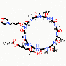 CC[C@@H]1NC(=O)[C@H]([C@H](O)[C@H](C)CCCCCOC(=O)OC)NC(=O)[C@H](C(C)C)N(C)C(=O)[C@H](CC(C)C)N(C)C(=O)[C@H](CC(C)C)N(C)C(=O)[C@@H](C)NC(=O)[C@H](C)NC(=O)[C@H](CC(C)C)N(C)C(=O)[C@H](C(C)C)NC(=O)[C@H]([C@@H](C)OCCCCN2CCOCC2)N(C)C(=O)[C@@H](C)N(C)C1=O